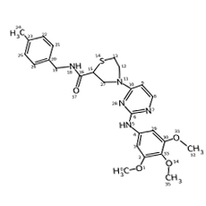 COc1cc(Nc2nccc(N3CCSC(C(=O)NCc4ccc(C)cc4)C3)n2)cc(OC)c1OC